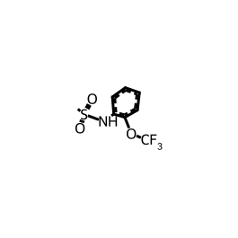 CS(=O)(=O)Nc1ccccc1OC(F)(F)F